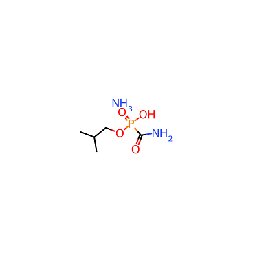 CC(C)COP(=O)(O)C(N)=O.N